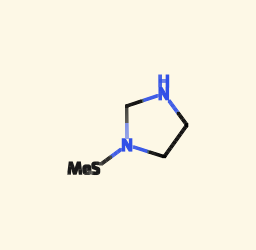 [CH2]SN1CCNC1